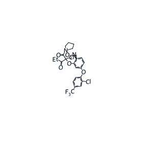 CCC(=O)C(C#N)(Oc1cc(Oc2ccc(C(F)(F)F)cc2Cl)ccc1[N+](=O)[O-])C(=O)N1CCCC1